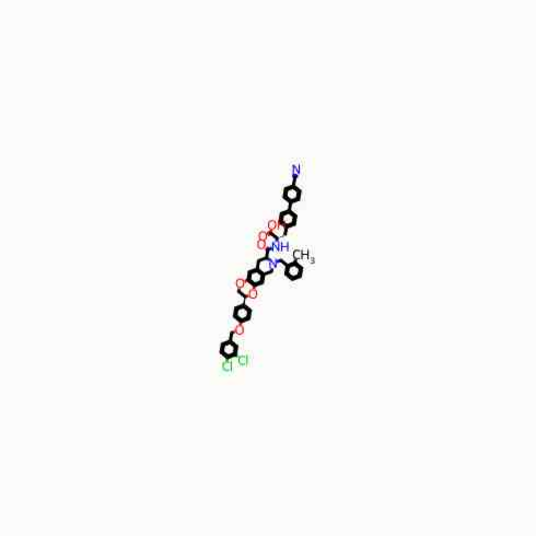 Cc1ccccc1CN1Cc2cc3c(cc2CC1C(=O)N[C@@H](Cc1ccc(-c2ccc(C#N)cc2)cc1)C(=O)O)OC[C@H](c1ccc(OCc2ccc(Cl)c(Cl)c2)cc1)O3